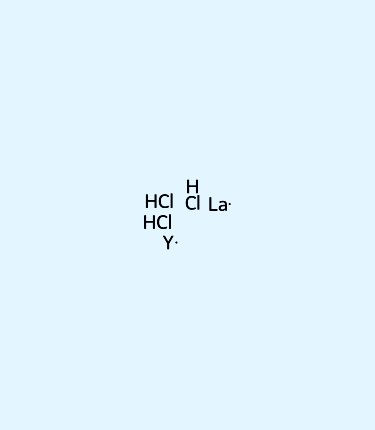 Cl.Cl.Cl.[La].[Y]